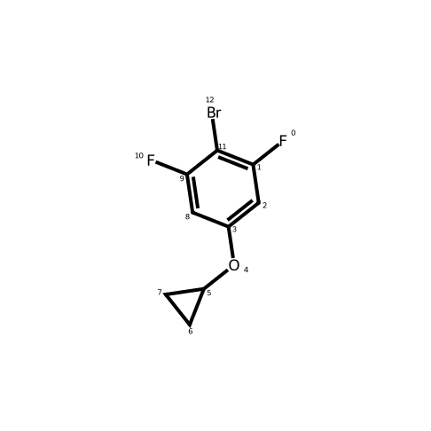 Fc1cc(OC2CC2)cc(F)c1Br